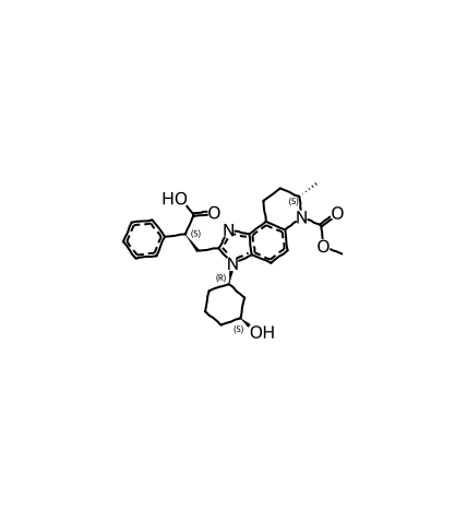 COC(=O)N1c2ccc3c(nc(C[C@H](C(=O)O)c4ccccc4)n3[C@@H]3CCC[C@H](O)C3)c2CC[C@@H]1C